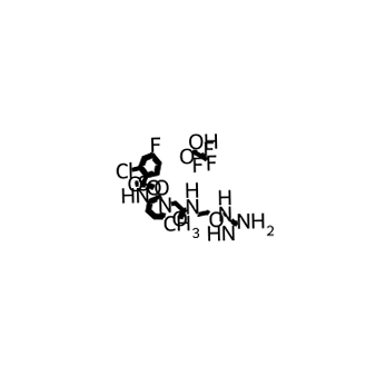 Cc1ccc(NS(=O)(=O)c2ccc(F)cc2Cl)c(=O)n1CC(=O)NCCONC(=N)N.O=C(O)C(F)(F)F